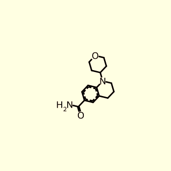 NC(=O)c1ccc2c(c1)CCCN2C1CCOCC1